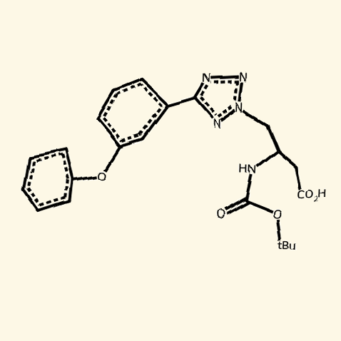 CC(C)(C)OC(=O)NC(CC(=O)O)Cn1nnc(-c2cccc(Oc3ccccc3)c2)n1